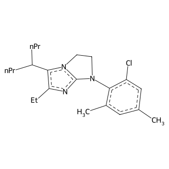 CCCC(CCC)c1c(CC)nc2n1CCN2c1c(C)cc(C)cc1Cl